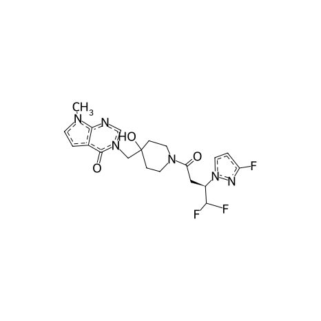 Cn1ccc2c(=O)n(CC3(O)CCN(C(=O)C[C@H](C(F)F)n4ccc(F)n4)CC3)cnc21